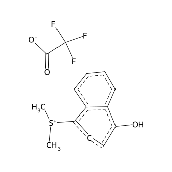 C[S+](C)c1ccc(O)c2ccccc12.O=C([O-])C(F)(F)F